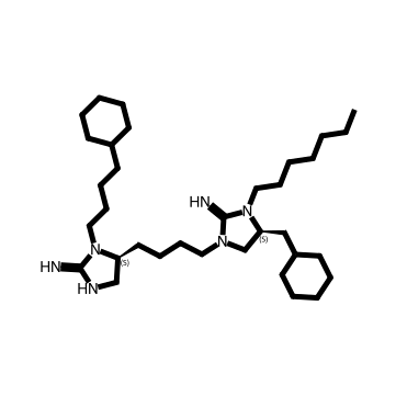 CCCCCCCN1C(=N)N(CCCC[C@H]2CNC(=N)N2CCCCC2CCCCC2)C[C@@H]1CC1CCCCC1